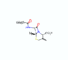 C=C1CS[C@@H]2C(NC(=O)CCCCCCC)C(=O)N2C1C(=O)O